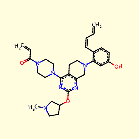 C=C/C=C\c1ccc(O)cc1N1CCc2c(nc(OC3CCN(C)C3)nc2N2CCN(C(=O)C=C)CC2)C1